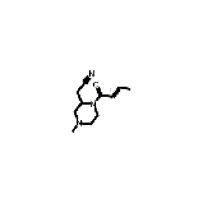 C/C=C/C(=O)N1CCN(C)CC1CC#N